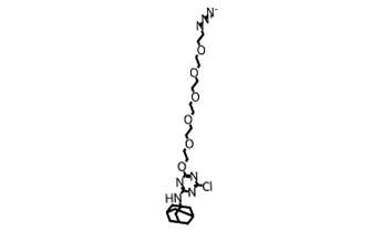 [N-]=[N+]=NCCOCCOCCOCCOCCOCCOc1nc(Cl)nc(NC23CC4CC(CC(C4)C2)C3)n1